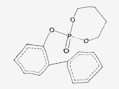 O=P1(Oc2ccccc2-c2ccccc2)OCCCCO1